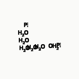 O.O.O.O.O.O.[P].[P]